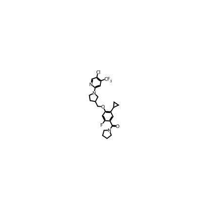 O=C(c1cc(C2CC2)c(OCC2CCN(c3cc(C(F)(F)F)c(Cl)cn3)C2)cc1F)N1CCCC1